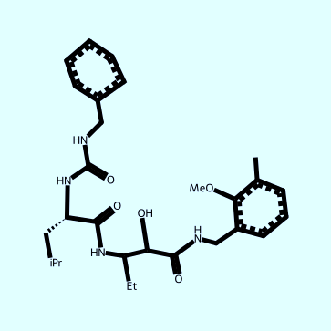 CCC(NC(=O)[C@H](CC(C)C)NC(=O)NCc1ccccc1)C(O)C(=O)NCc1cccc(C)c1OC